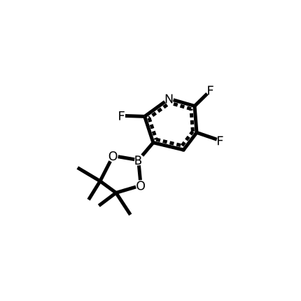 CC1(C)OB(c2cc(F)c(F)nc2F)OC1(C)C